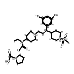 CCN(C(=O)C[C@@H]1CCCN1C(=O)O)C1CCN(CC[C@@H](c2cc(F)cc(F)c2)C2CCN(S(C)(=O)=O)CC2)CC1